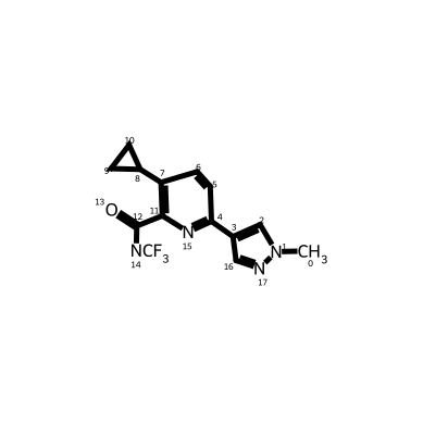 Cn1cc(-c2ccc(C3CC3)c(C(=O)NC(F)(F)F)n2)cn1